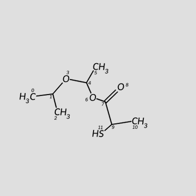 CC(C)OC(C)OC(=O)C(C)S